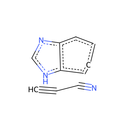 C#CC#N.c1ccc2[nH]cnc2c1